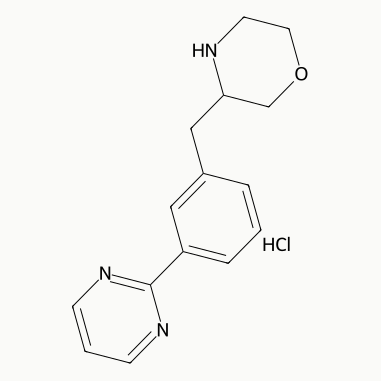 Cl.c1cnc(-c2cccc(CC3COCCN3)c2)nc1